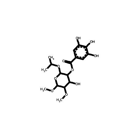 COC1OC(OC(C)C)C(OC(=O)c2cc(O)c(O)c(O)c2)C(O)C1OC